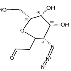 [N-]=[N+]=N[C@@H]1C(CC=O)O[C@H](CO)[C@H](O)[C@@H]1O